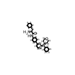 N[C@@H](Cc1ccccc1)C(=O)Nc1ccc(-c2ccnc(N(c3ccccc3)N3CCOCC3)n2)cc1